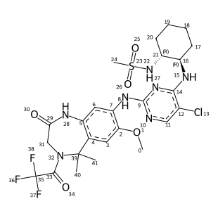 COc1cc2c(cc1Nc1ncc(Cl)c(N[C@@H]3CCCC[C@H]3NS(C)(=O)=O)n1)NC(=O)CN(C(=O)C(F)(F)F)C2(C)C